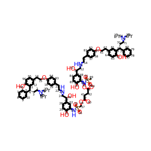 CC(C)N(CC[C@H](c1ccccc1)c1cc(CCOc2ccc(CCNC[C@H](O)c3ccc(O)c(NS(=O)(=O)COC(=O)CCC(=O)ON(c4cc([C@@H](O)CNCCc5ccc(OCCc6ccc(O)c([C@H](CCN(C(C)C)C(C)C)c7ccccc7)c6)cc5)ccc4O)S(C)(=O)=O)c3)cc2)ccc1O)C(C)C